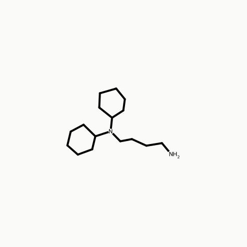 NCCCCN(C1CCCCC1)C1CCCCC1